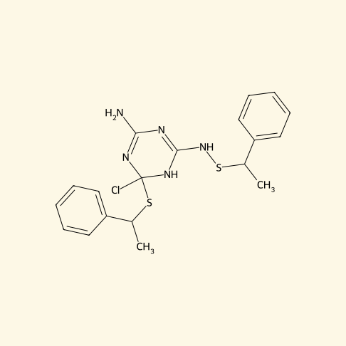 CC(SNC1=NC(N)=NC(Cl)(SC(C)c2ccccc2)N1)c1ccccc1